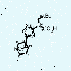 CC(C)(C)CN(C(=O)O)c1noc(C2CN3CCC2CC3)n1